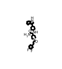 NC(=O)C(NC1CCC(c2c[nH]c3ccccc23)CC1)C1CCN(C(=O)C=Cc2ccc(F)c(F)c2)CC1